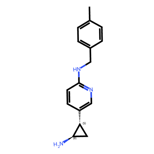 Cc1ccc(CNc2ccc([C@@H]3C[C@H]3N)cn2)cc1